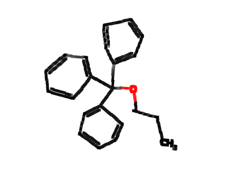 CC[CH]OC(c1ccccc1)(c1ccccc1)c1ccccc1